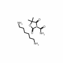 CC1(C)OC(=O)N(C(N)=O)C1=O.NCCCCCCN